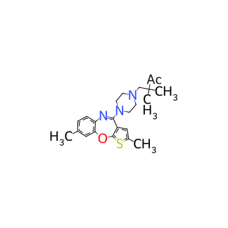 CC(=O)C(C)(C)CN1CCN(C2=Nc3ccc(C)cc3Oc3sc(C)cc32)CC1